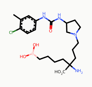 Cc1cc(NC(=O)NC2CCN(CCCC(N)(CCCCB(O)O)C(=O)O)C2)ccc1Cl